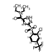 CCN(CC)C(=O)c1nc(S(=O)(=O)c2ccc(C(F)(F)F)cc2Cl)n[nH]1